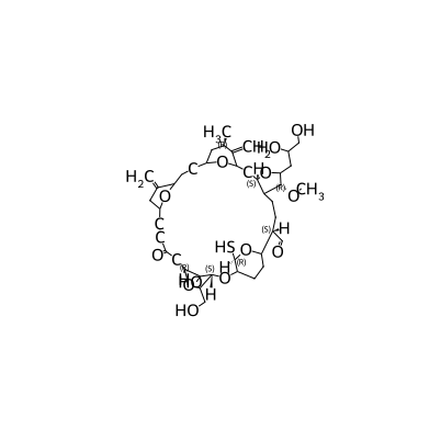 C=C1CC2CCC(=O)C[C@H]3OC(CO)[C@@H](OC4CCC(O[C@@H]4S)[C@@H](C=O)CCC4[C@@H](OC)C(CC(O)CO)O[C@H]4CC4OC(CCC1O2)C[C@@H](C)C4=C)C3O